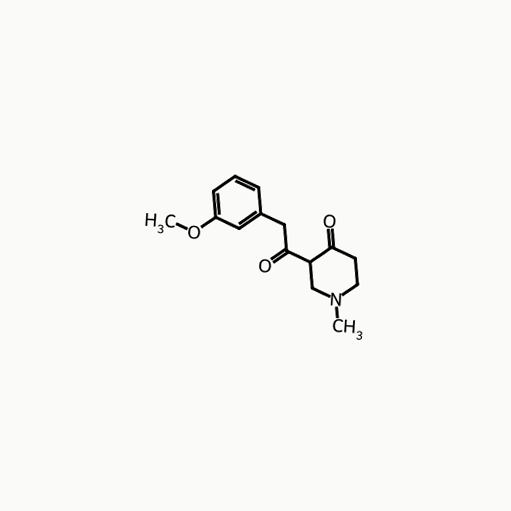 COc1cccc(CC(=O)C2CN(C)CCC2=O)c1